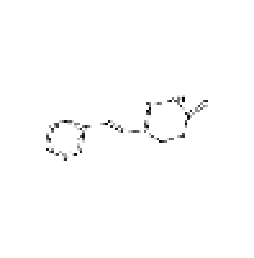 O=C1CCC(C=Cc2cccnc2)=NN1